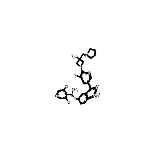 C[C@@H](Oc1ccc2[nH]nc(-c3cnc(N4CC(C)(CN5CCCC5)C4)c(F)c3)c2c1)c1c(Cl)cncc1Cl